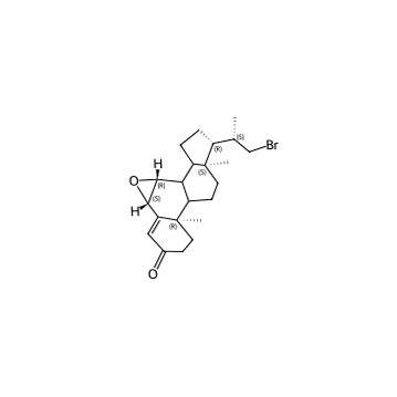 C[C@H](CBr)[C@H]1CCC2C3C(CC[C@@]21C)[C@@]1(C)CCC(=O)C=C1[C@@H]1O[C@H]31